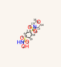 O=S(=O)(NO)c1ccc(S(=O)(=O)N2CCOCC2)cc1